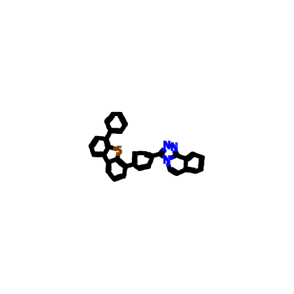 c1ccc(-c2cccc3c2sc2c(-c4ccc(-c5nnc6c7ccccc7ccn56)cc4)cccc23)cc1